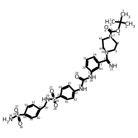 CC(C)(C)OC(=O)N1CCN(C(=N)c2cccc(NC(=O)Nc3ccc(S(=O)(=O)NCc4ccc(S(N)(=O)=O)cc4)cc3)c2)CC1